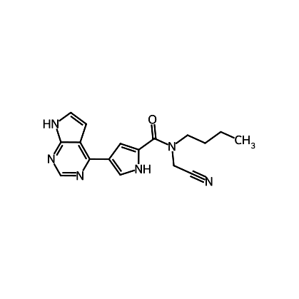 CCCCN(CC#N)C(=O)c1cc(-c2ncnc3[nH]ccc23)c[nH]1